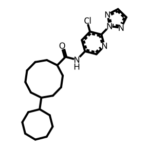 O=C(Nc1cnc(-n2nccn2)c(Cl)c1)C1CCCCCC(C2CCCCCCC2)CCC1